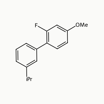 COc1ccc(-c2cccc(C(C)C)c2)c(F)c1